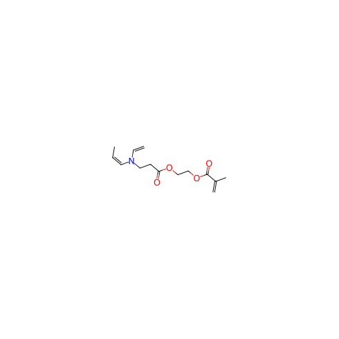 C=CN(/C=C\C)CCC(=O)OCCOC(=O)C(=C)C